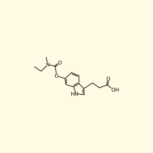 CCN(C)C(=O)Oc1ccc2c(CCC(=O)O)c[nH]c2c1